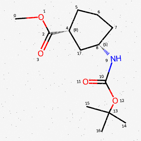 COC(=O)[C@@H]1CCC[C@H](NC(=O)OC(C)(C)C)C1